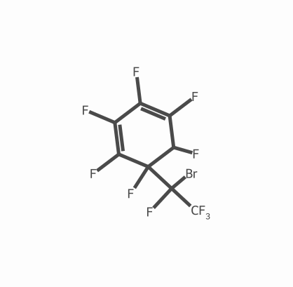 FC1=C(F)C(F)C(F)(C(F)(Br)C(F)(F)F)C(F)=C1F